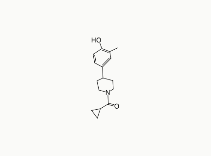 Cc1cc(C2CCN(C(=O)C3CC3)CC2)ccc1O